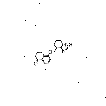 O=C1CCCc2c(OCC3CCCc4[nH]cnc43)cccc21